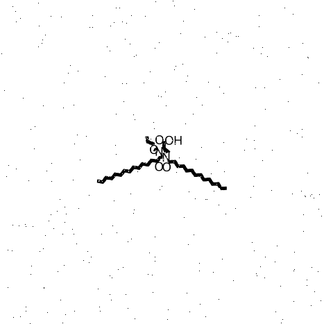 CCCCCCCCCCCCCC(=O)C1N(C(=O)CCCCCCCCCCCCC)C=C(C(=O)O)N1OCCC